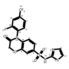 O=C1COc2cc(S(=O)(=O)Nc3nccs3)ccc2N1c1ccc(C(F)(F)F)cc1F